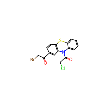 O=C(CBr)c1ccc2c(c1)N(C(=O)CCl)c1ccccc1S2